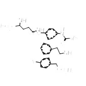 CCCC(=O)Nc1ccc(C=O)cc1.NCCCC(N)C(=O)O.NCCc1ccccc1.O=C(O)Cc1ccc(Br)cc1